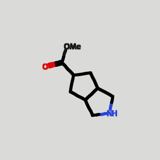 COC(=O)C1CC2CNCC2C1